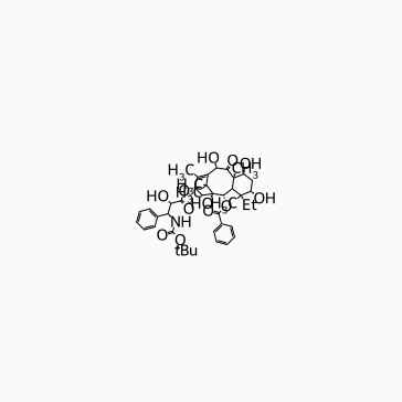 CC[C@@]1(C)C2[C@H](OC(=O)c3ccccc3)[C@]3(O)C[C@H](OC(=O)[C@H](O)[C@@H](NC(=O)OC(C)(C)C)c4ccccc4)C(C)=C([C@@H](O)C(=O)[C@]2(C)[C@@H](O)C[C@H]1O)C3(C)C